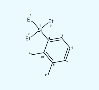 CC[Si](CC)(CC)c1cccc(C)c1C